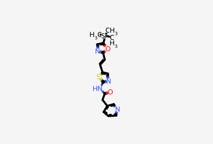 C[Si](C)(C)c1cnc(C=Cc2cnc(NC(=O)Cc3cccnc3)s2)o1